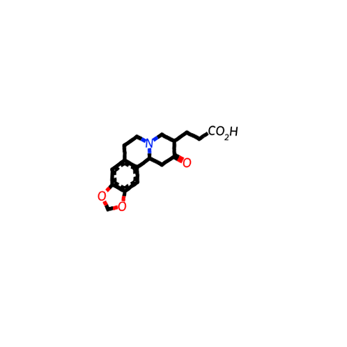 O=C(O)CCC1CN2CCc3cc4c(cc3C2CC1=O)OCO4